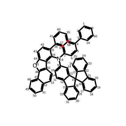 c1ccc(-c2ccc(N(c3ccc4c(c3)C3(c5ccccc5-c5ccccc53)c3ccccc3-4)c3c(-c4ccccc4)ccc4oc5c6ccccc6ccc5c34)cc2)cc1